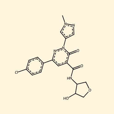 Cn1cc(-n2nc(-c3ccc(Cl)cc3)cc(C(=O)NC3COCC3O)c2=O)cn1